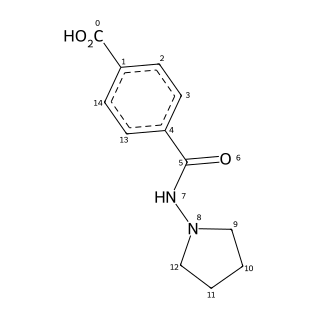 O=C(O)c1ccc(C(=O)NN2CCCC2)cc1